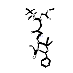 COC(=O)C[C@@H](CC(=O)/C=C/[C@@H]1N(C(=O)O)C(c2ccccc2)SC1(C)C)O[Si](C)(C)C(C)(C)C